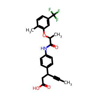 CC#CC(CC(=O)O)c1ccc(NC(=O)C(C)Oc2cc(C(F)(F)F)ccc2C)cc1